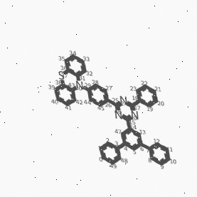 c1ccc(-c2cc(-c3ccccc3)cc(-c3nc(-c4ccccc4)nc(-c4ccc(N5c6ccccc6Sc6ccccc65)cc4)n3)c2)cc1